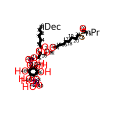 CCCCCCCCCCCCCCCC(=O)O[C@H](COCOCCCCCCCCSC(=O)CCC)COP(=O)(O)OC1C(O)[C@H](O)C(OP(=O)(O)O)[C@H](O)[C@@H]1O